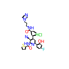 Cl.N#Cc1c(-c2cccc(C(=O)NCCCn3ccnc3)c2)cc(-c2ccc(F)cc2O)nc1NC(=O)c1cccs1